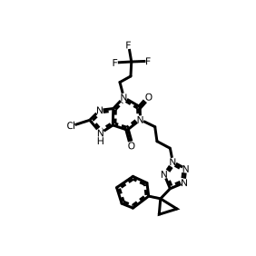 O=c1c2[nH]c(Cl)nc2n(CCC(F)(F)F)c(=O)n1CCCn1nnc(C2(c3ccccc3)CC2)n1